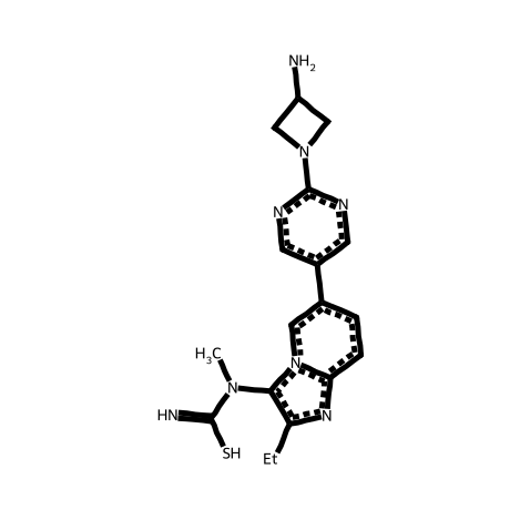 CCc1nc2ccc(-c3cnc(N4CC(N)C4)nc3)cn2c1N(C)C(=N)S